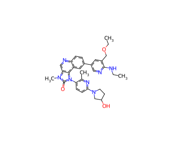 CCNc1ncc(-c2ccc3ncc4c(c3c2)n(-c2ccc(N3CCC(O)C3)nc2C)c(=O)n4C)cc1COCC